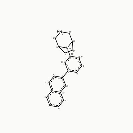 c1ccc2ncc(-c3ccnc(N4C5CCC4CNC5)n3)cc2c1